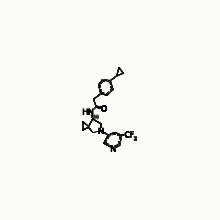 O=C(Cc1ccc(C2CC2)cc1)N[C@H]1CN(c2cncc(C(F)(F)F)c2)CC12CC2